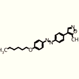 CCCCCCOc1ccc(/N=N/c2ccc(-c3cnoc3C)cc2)cc1